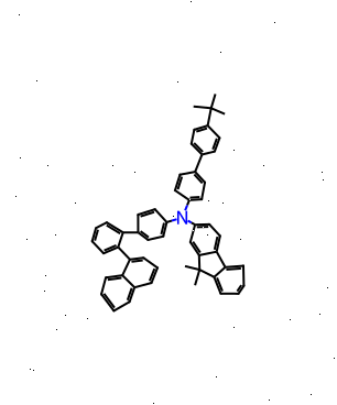 CC(C)(C)c1ccc(-c2ccc(N(c3ccc(-c4ccccc4-c4cccc5ccccc45)cc3)c3ccc4c(c3)C(C)(C)c3ccccc3-4)cc2)cc1